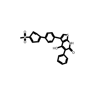 CS(=O)(=O)c1ccc(-c2ccc(-c3csc4[nH]c(=O)c(-c5ccccc5)c(O)c34)cc2)cc1